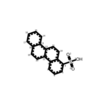 O=S(=O)(O)c1cccc2c1ccc1c3ccccc3ccc21